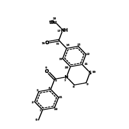 Cc1ccc(C(=O)N2CCSc3ccc(C(=O)NC(C)(C)C)cc32)cc1